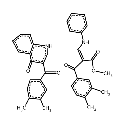 COC(=O)C(=CNc1ccccc1)C(=O)c1ccc(C)c(C)c1.Cc1ccc(C(=O)c2c[nH]c3ccccc3c2=O)cc1C